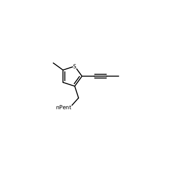 CC#Cc1sc(C)cc1CCCCCC